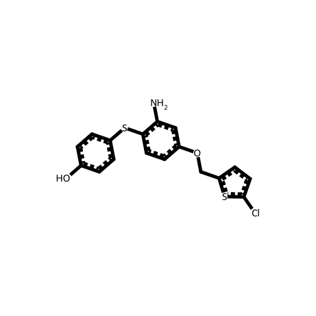 Nc1cc(OCc2ccc(Cl)s2)ccc1Sc1ccc(O)cc1